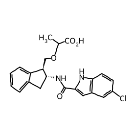 CC(OC[C@@H]1c2ccccc2C[C@H]1NC(=O)c1cc2cc(Cl)ccc2[nH]1)C(=O)O